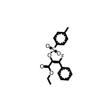 CCOC(=O)C(OS(=O)(=O)c1ccc(C)cc1)=C(F)c1ccccc1